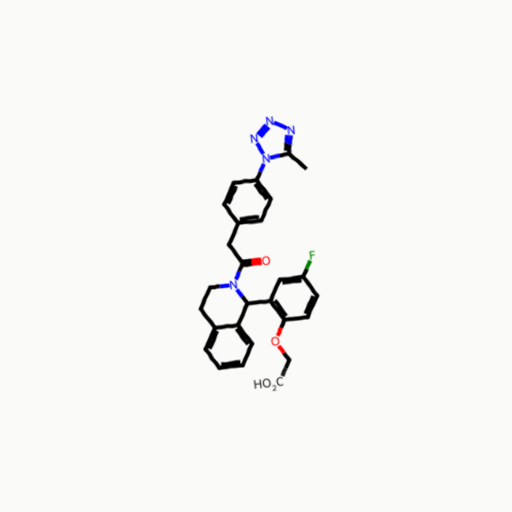 Cc1nnnn1-c1ccc(CC(=O)N2CCc3ccccc3C2c2cc(F)ccc2OCC(=O)O)cc1